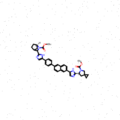 CC(C)(C)OC(=O)N1CC2(CC2)C[C@H]1c1ncc(-c2ccc3cc(-c4ccc(-c5cnc(C6C7CC[C@H](C7)N6C(=O)OC(C)(C)C)[nH]5)cc4)ccc3c2)[nH]1